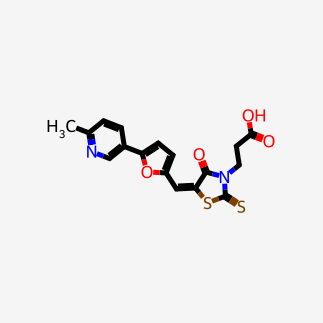 Cc1ccc(-c2ccc(/C=C3/SC(=S)N(CCC(=O)O)C3=O)o2)cn1